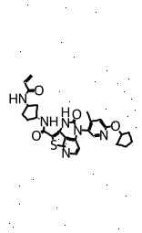 C=CC(=O)N[C@H]1CC[C@@H](NC(=O)c2sc3nccc4c3c2NC(=O)N4c2cnc(OC3CCCC3)cc2C)C1